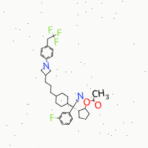 CC(=O)O[C@H]1CCC[C@@H]1C(C#N)(c1cccc(F)c1)C1CCC(CCCC2CN(c3ccc(CC(F)(F)F)cc3)C2)CC1